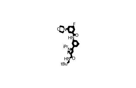 CC(C)n1nc(C(=O)NCC(C)(C)C)cc1-c1cccc(NC(=O)c2cc(F)cc(N3CCOCC3)c2)c1